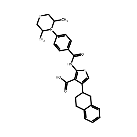 CC1COCC(C)N1c1ccc(C(=O)Nc2scc(C3CCc4ccccc4C3)c2C(=O)O)cc1